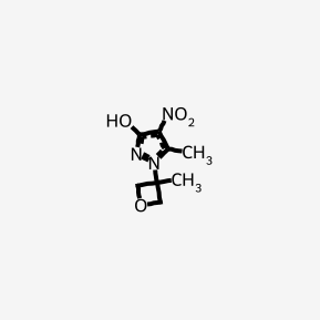 Cc1c([N+](=O)[O-])c(O)nn1C1(C)COC1